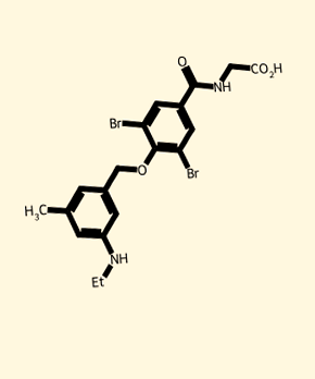 CCNc1cc(C)cc(COc2c(Br)cc(C(=O)NCC(=O)O)cc2Br)c1